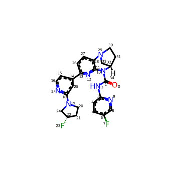 O=C(Nc1ccc(F)cn1)N1c2nc(-c3ccnc(N4CC[C@H](F)C4)c3)ccc2N2CC[C@H]1C2